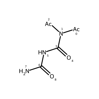 CC(=O)N(C(C)=O)C(=O)NC(N)=O